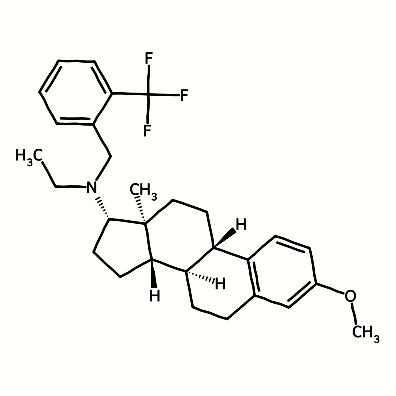 CCN(Cc1ccccc1C(F)(F)F)[C@H]1CC[C@H]2[C@@H]3CCc4cc(OC)ccc4[C@H]3CC[C@]12C